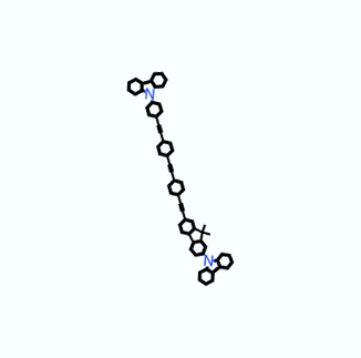 CC1(C)c2cc(C#Cc3ccc(C#Cc4ccc(C#Cc5ccc(-n6c7ccccc7c7ccccc76)cc5)cc4)cc3)ccc2-c2ccc(-n3c4ccccc4c4ccccc43)cc21